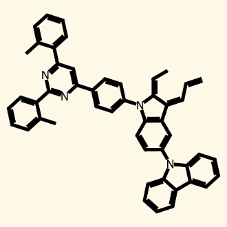 C=C/C=c1\c(=C/C)n(-c2ccc(-c3cc(-c4ccccc4C)nc(-c4ccccc4C)n3)cc2)c2ccc(-n3c4ccccc4c4ccccc43)cc12